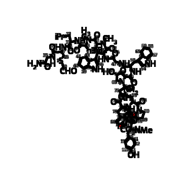 CCCCC(C(=O)N(C)C(CCCC)C(=O)NC(CC(C)C)C(=O)N[C@@H](CSCC=O)C(=O)NCC(N)=O)N(C)C(=O)C(Cc1c[nH]c2ccccc12)NC(=O)CNC(=O)C(Cc1c[nH]c2ccccc12)NC(=O)C1C[C@@H](O)CN1C(=O)CNC(=O)C(Cc1cnc[nH]1)NC(=O)C1CCCN1C(=O)C(CC(N)=O)NC(=O)CN(CC(=O)O)C(=O)C(Cc1ccc(O)cc1)NC